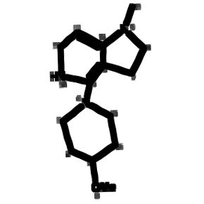 COC1CCN(C2=C3CCN(C)C3=CCN2)CC1